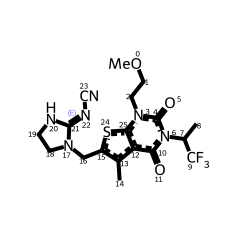 COCCn1c(=O)n(C(C)C(F)(F)F)c(=O)c2c(C)c(CN3CCN/C3=N\C#N)sc21